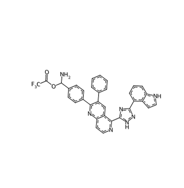 NC(OC(=O)C(F)(F)F)c1ccc(-c2nc3ccnc(-c4nc(-c5cccc6[nH]ccc56)n[nH]4)c3cc2-c2ccccc2)cc1